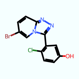 Oc1ccc(Cl)c(-c2nnc3ccc(Br)cn23)c1